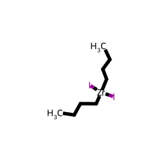 CCC[CH2][Zr]([I])([I])[CH2]CCC